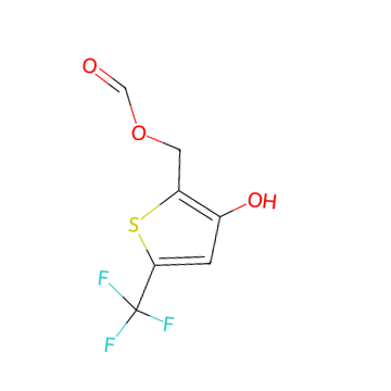 O=COCc1sc(C(F)(F)F)cc1O